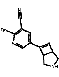 N#Cc1cc(C2=CC3CNCC23)cnc1Br